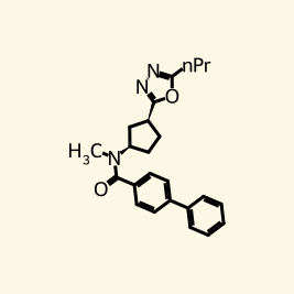 CCCc1nnc([C@H]2CC[C@@H](N(C)C(=O)c3ccc(-c4ccccc4)cc3)C2)o1